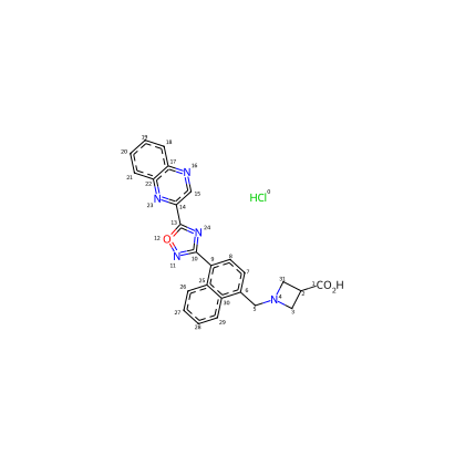 Cl.O=C(O)C1CN(Cc2ccc(-c3noc(-c4cnc5ccccc5n4)n3)c3ccccc23)C1